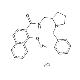 COc1c(C(=O)NCC2CCCN2Cc2ccccc2)ccc2ccccc12.Cl